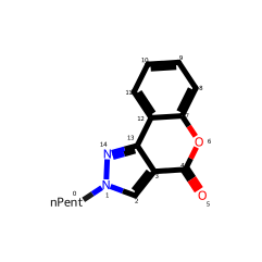 CCCCCn1cc2c(=O)oc3ccccc3c2n1